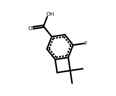 CC1(C)Cc2cc(C(=O)O)cc(F)c21